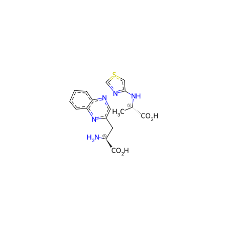 C[C@H](Nc1cscn1)C(=O)O.N[C@@H](Cc1cnc2ccccc2n1)C(=O)O